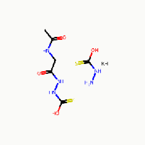 CC(=O)NCC(=O)NNC(O)=S.NNC(O)=S.[KH]